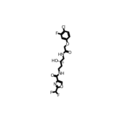 O=C(COc1ccc(Cl)c(F)c1)NC[C@@H](O)CCNC(=O)c1coc(C(F)F)n1